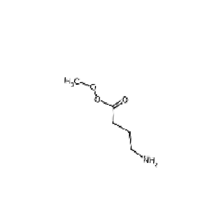 COOC(=O)CCCN